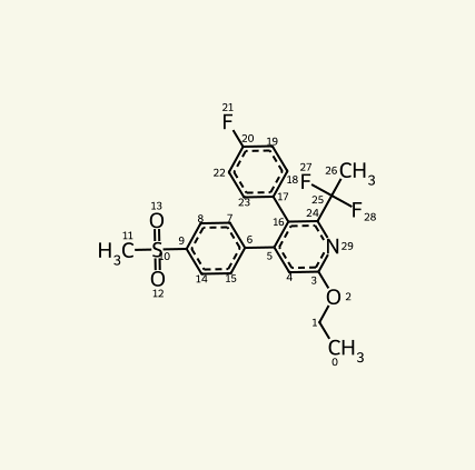 CCOc1cc(-c2ccc(S(C)(=O)=O)cc2)c(-c2ccc(F)cc2)c(C(C)(F)F)n1